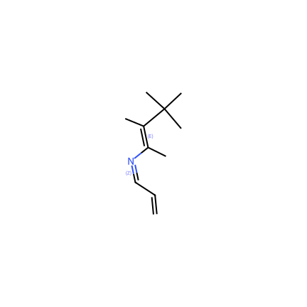 C=C/C=N\C(C)=C(/C)C(C)(C)C